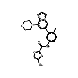 Cc1ccc(NC(=O)c2nc(C(C)(C)C)no2)cc1-c1cc(N2CCOCC2)c2nccn2c1